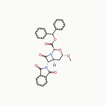 CO[C@@H]1C[C@H]2[C@H](N3C(=O)c4ccccc4C3=O)C(=O)N2[C@@H](C(=O)OC(c2ccccc2)c2ccccc2)O1